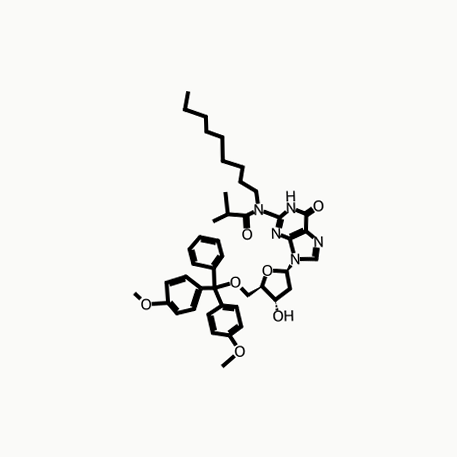 CCCCCCCCCN(C(=O)C(C)C)c1nc2c(ncn2[C@H]2C[C@H](O)[C@@H](COC(c3ccccc3)(c3ccc(OC)cc3)c3ccc(OC)cc3)O2)c(=O)[nH]1